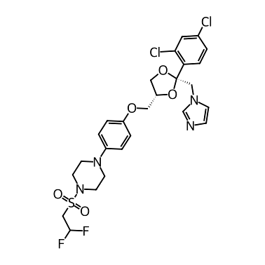 O=S(=O)(CC(F)F)N1CCN(c2ccc(OC[C@@H]3CO[C@@](Cn4ccnc4)(c4ccc(Cl)cc4Cl)O3)cc2)CC1